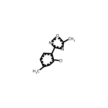 Cc1ccc(-c2noc(C)n2)c(Cl)c1